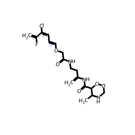 C=C(CCNC(=O)CO/C=C/C=C(/Cl)C(=C)F)NC(=O)C1OOCNC1C